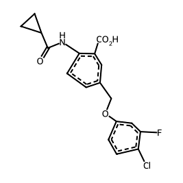 O=C(O)c1cc(COc2ccc(Cl)c(F)c2)ccc1NC(=O)C1CC1